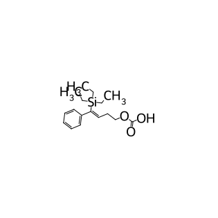 CC[Si](CC)(CC)C(=CCCOC(=O)O)c1ccccc1